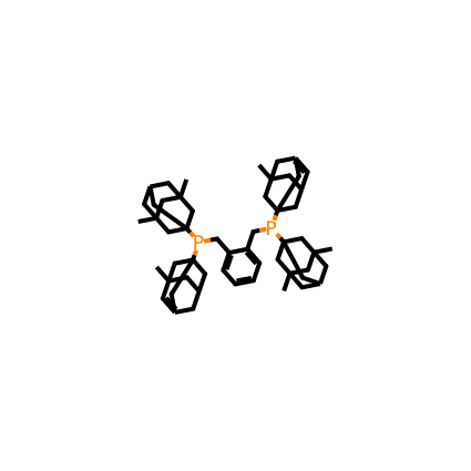 CC12C=C3CC(C1)CC(P(Cc1ccccc1CP(C14CC5=CC(CC(C)(C5)C1)C4)C14CC5CC(C)(CC(C)(C5)C1)C4)C14CC5CC(C)(CC(C)(C5)C1)C4)(C3)C2